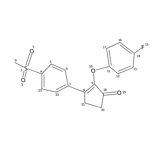 CS(=O)(=O)c1ccc(C2=C(Oc3ccc(F)cc3)C(=O)CC2)cc1